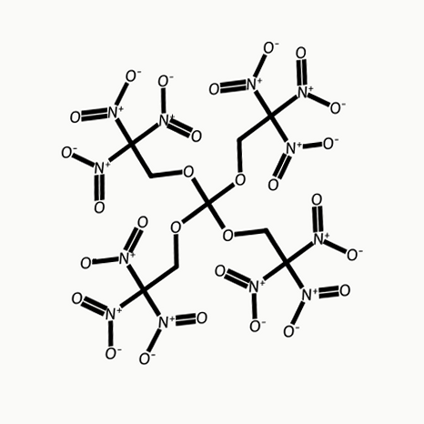 O=[N+]([O-])C(COC(OCC([N+](=O)[O-])([N+](=O)[O-])[N+](=O)[O-])(OCC([N+](=O)[O-])([N+](=O)[O-])[N+](=O)[O-])OCC([N+](=O)[O-])([N+](=O)[O-])[N+](=O)[O-])([N+](=O)[O-])[N+](=O)[O-]